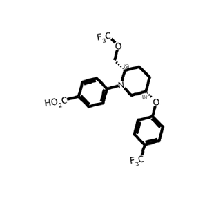 O=C(O)c1ccc(N2C[C@@H](Oc3ccc(C(F)(F)F)cc3)CC[C@H]2COC(F)(F)F)cc1